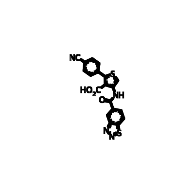 N#Cc1ccc(-c2scc(NC(=O)c3ccc4snnc4c3)c2C(=O)O)cc1